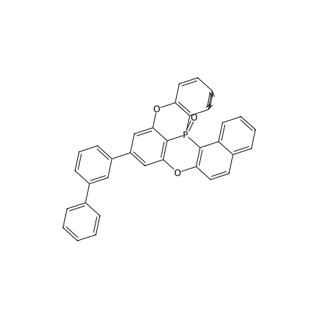 O=P12c3c(cc(-c4cccc(-c5ccccc5)c4)cc3Oc3ccc4ccccc4c31)Oc1ccc3ccccc3c12